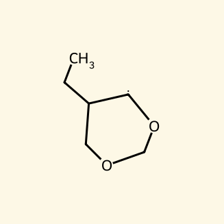 CCC1[CH]OCOC1